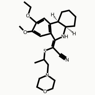 CCOc1cc2c(cc1OC)C(=C(C#N)SC(C)CN1CCOCC1)N[C@@H]1CCCC[C@H]21